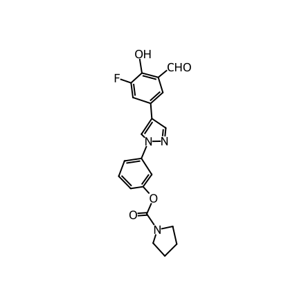 O=Cc1cc(-c2cnn(-c3cccc(OC(=O)N4CCCC4)c3)c2)cc(F)c1O